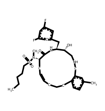 CCCCCS(=O)(=O)N(C)[C@H]1C/C=C\CCCc2ccc(C)cc2CNC[C@@H](O)[C@H](Cc2cc(F)cc(F)c2)NC1=O